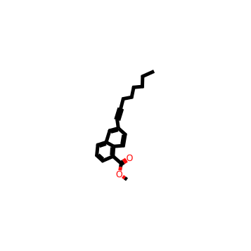 CCCCCCC#Cc1ccc2c(C(=O)OC)cccc2c1